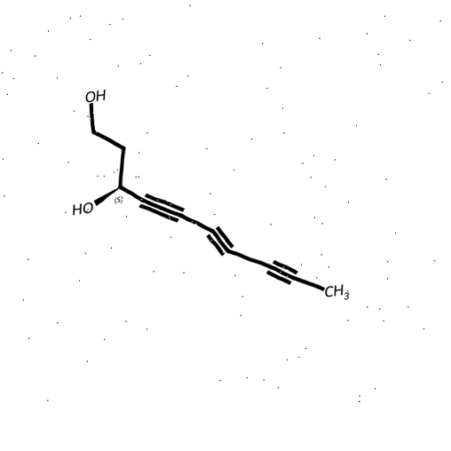 CC#CC#CC#C[C@@H](O)CCO